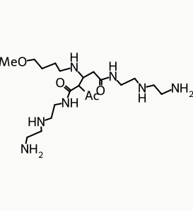 COCCCCNC(CC(=O)NCCNCCN)C(C(C)=O)C(=O)NCCNCCN